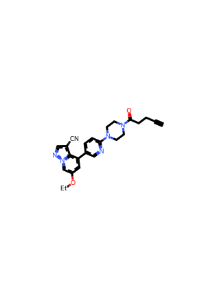 C#CCCC(=O)N1CCN(c2ccc(-c3cc(OCC)cn4ncc(C#N)c34)cn2)CC1